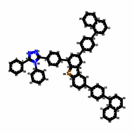 c1ccc(-c2nnc(-c3ccc(-c4cc(-c5ccc(-c6cccc7ccccc67)cc5)cc5c4sc4ccc(-c6ccc(-c7cccc8ccccc78)cc6)cc45)cc3)n2-c2ccccc2)cc1